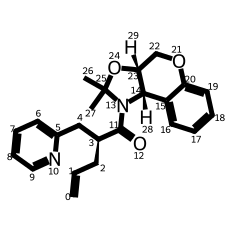 C=CC[C@@H](Cc1ccccn1)C(=O)N1[C@H]2c3ccccc3OC[C@H]2OC1(C)C